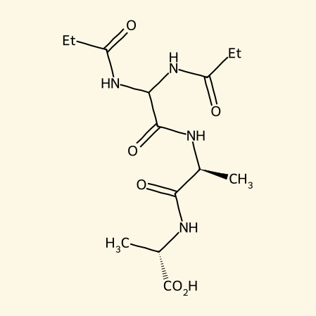 CCC(=O)NC(NC(=O)CC)C(=O)N[C@@H](C)C(=O)N[C@@H](C)C(=O)O